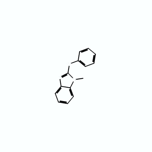 Cn1c(Nc2cc[c]cc2)nc2ccccc21